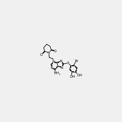 Nc1ncn(CCN2C(=O)CCCC2=O)c2nc(Sc3cc(O)c(O)cc3Br)nc1-2